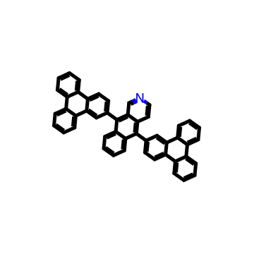 c1ccc2c(-c3ccc4c5ccccc5c5ccccc5c4c3)c3cnccc3c(-c3ccc4c5ccccc5c5ccccc5c4c3)c2c1